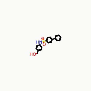 O=S(=O)(Nc1ccc(CO)cc1)c1ccc(-c2ccccc2)cc1